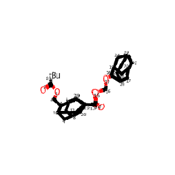 CC(C)(C)C(=O)OCC1C2CC3CC1CC(C(=O)OCOC1C4CC5CC(C4)CC1C5)(C3)C2